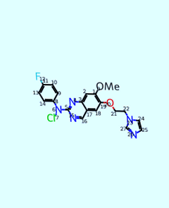 COc1cc2nc(N(Cl)c3ccc(F)cc3)ncc2cc1OCCn1ccnc1